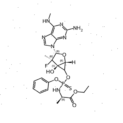 CCOC(=O)[C@@H](C)NP(=S)(Oc1ccccc1)OC1[C@H]2O[C@@H](n3cnc4c(NC)nc(N)nc43)[C@](C)(F)[C@@]12O